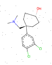 CN(C)C[C@]1(c2ccc(Cl)c(Cl)c2)CC[C@@H](O)CC1